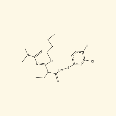 CCCCOC(=NC(=O)N(C)C)N(CC)C(=O)NSc1ccc(Cl)c(Cl)c1